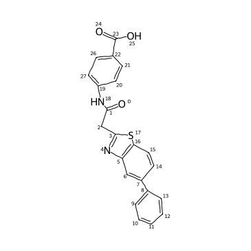 O=C(Cc1nc2cc(-c3ccccc3)ccc2s1)Nc1ccc(C(=O)O)cc1